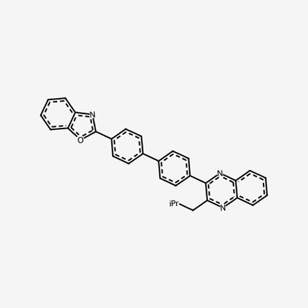 CC(C)Cc1nc2ccccc2nc1-c1ccc(-c2ccc(-c3nc4ccccc4o3)cc2)cc1